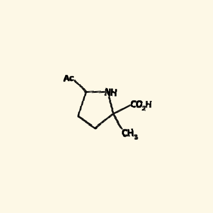 CC(=O)C1CCC(C)(C(=O)O)N1